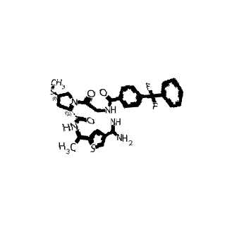 CS[C@@H]1C[C@@H](C(=O)NC(C)c2cc(C(=N)N)cs2)N(C(=O)CNC(=O)c2ccc(C(F)(F)c3ccccc3)cc2)C1